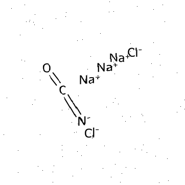 [Cl-].[Cl-].[N-]=C=O.[Na+].[Na+].[Na+]